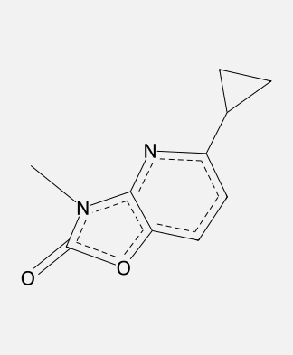 Cn1c(=O)oc2ccc(C3CC3)nc21